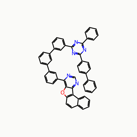 c1ccc(-c2ccc(-c3nc(-c4ccccc4)nc(-c4cccc(-c5cccc(-c6cccc(-c7ncnc8c7oc7ccc9ccccc9c78)c6)c5)c4)n3)cc2)cc1